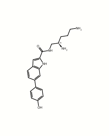 NCCC[C@@H](N)CNC(=O)c1cc2ccc(-c3ccc(O)cc3)cc2[nH]1